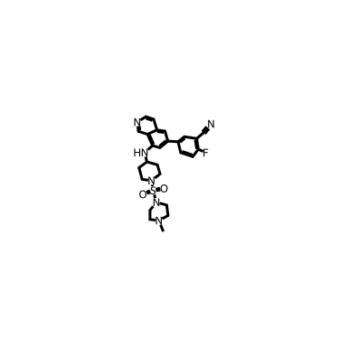 CN1CCN(S(=O)(=O)N2CCC(Nc3cc(-c4ccc(F)c(C#N)c4)cc4ccncc34)CC2)CC1